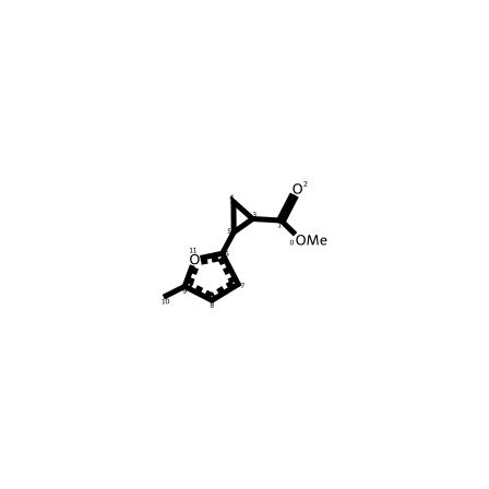 COC(=O)C1CC1c1ccc(C)o1